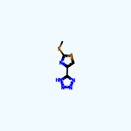 CSc1nc(-c2nnn[nH]2)cs1